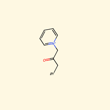 CC(C)CC(=O)C[n+]1ccccc1